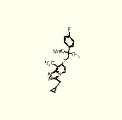 COC(C)(COc1ccn2c(CC3CC3)nnc2c1C)c1ccc(F)cc1